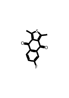 Cc1sc(C)c2c1C(=O)c1ccc(F)cc1C2=O